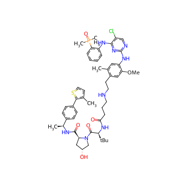 COc1cc(CCNCCCC(=O)N[C@H](C(=O)N2C[C@H](O)C[C@H]2C(=O)N[C@@H](C)c2ccc(-c3sccc3C)cc2)C(C)(C)C)c(C)cc1Nc1ncc(Cl)c(Nc2ccccc2P(C)(C)=O)n1